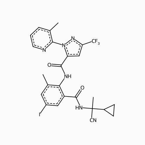 Cc1cccnc1-n1nc(C(F)(F)F)cc1C(=O)Nc1c(C)cc(I)cc1C(=O)NC(C)(C#N)C1CC1